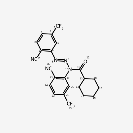 N#Cc1ccc(C(F)(F)F)cc1N=NN(C(=O)C1CCCCC1)c1cc(C(F)(F)F)ccc1C#N